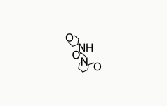 O=CC1CCCCN1CC(=O)NC1CCOCC1